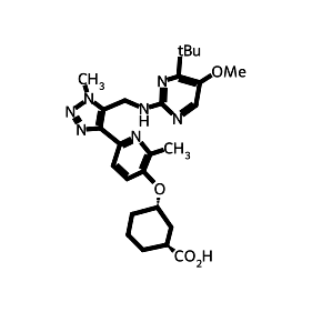 COc1cnc(NCc2c(-c3ccc(O[C@H]4CCC[C@H](C(=O)O)C4)c(C)n3)nnn2C)nc1C(C)(C)C